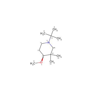 CO[C@H]1CCN(C(C)(C)C)CC1(C)C